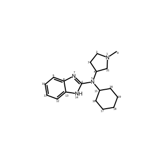 CN1CCC(N(c2nc3ccccc3[nH]2)C2CCCCC2)C1